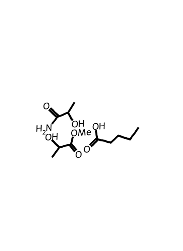 CC(O)C(N)=O.CCCCC(=O)O.COC(=O)C(C)O